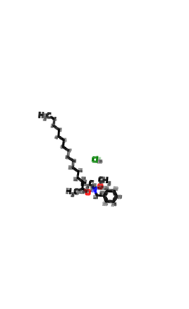 CCCCCCCCCCCCCCC(C)O[N+](C)(Cc1ccccc1)OC.[Cl-]